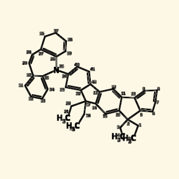 CCC1(CC)c2ccccc2-c2cc3c(cc21)C(CC)(CC)c1cc(N2C4=C(C=Cc5ccccc52)CCC=C4)ccc1-3